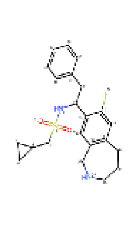 O=S(=O)(CC1CC1)NC(Cc1ccccc1)c1cc2c(cc1F)CCCNC2